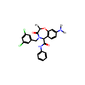 CCN(CC)c1ccc2c(c1)OC(C(C)C)C(=O)N(Cc1cc(Cl)cc(Cl)c1)C2C(=O)Nc1ccccc1